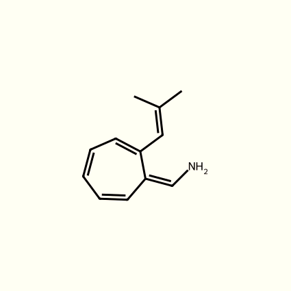 CC(C)=CC1=CC=CC=C/C1=C/N